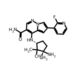 CC1(C)[C@H](Nc2c(C(N)=O)cnn3cc(-c4cccnc4F)cc23)CC[C@]1(C)N